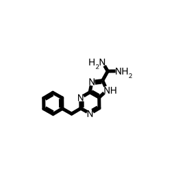 NC(N)c1nc2nc(Cc3ccccc3)ncc2[nH]1